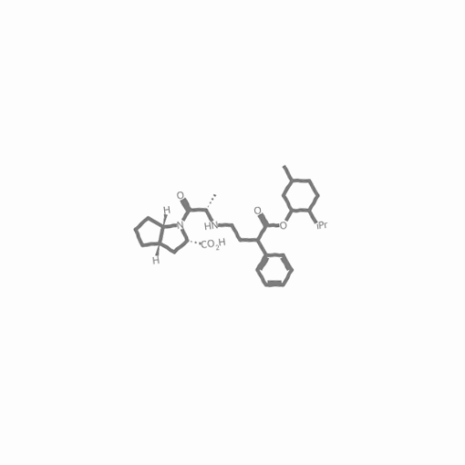 CC1CCC(C(C)C)C(OC(=O)C(CCN[C@@H](C)C(=O)N2[C@H](C(=O)O)C[C@@H]3CCC[C@@H]32)c2ccccc2)C1